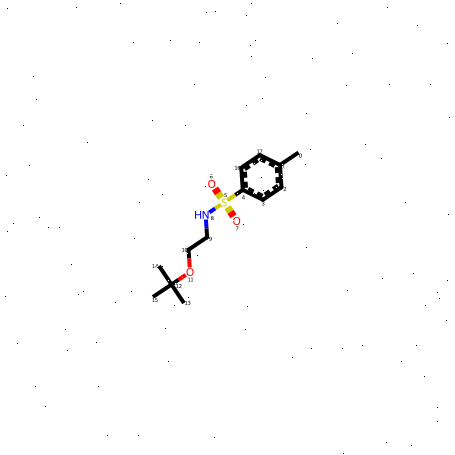 Cc1ccc(S(=O)(=O)NCCOC(C)(C)C)cc1